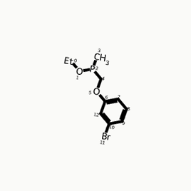 CCOP(C)COc1cccc(Br)c1